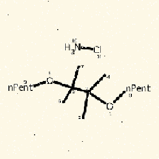 CCCCCOC(C)(C)C(C)(C)OCCCCC.NCl